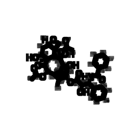 CC(=O)O[C@H]1C(=O)[C@@]2(C)[C@H]([C@H](O)[C@]3(O)C[C@H](OC(=O)[C@H](O)[C@@H](NC(=O)c4ccccc4)c4ccccc4)C(C)=C1C3(C)C)[C@]1(OC(C)=O)CO[C@@H]1C[C@@H]2O